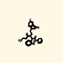 NCCC(=O)N(CCc1c[nH]c2cc(F)ccc12)C(C(=O)Nc1ccccc1)c1ccccc1Cl